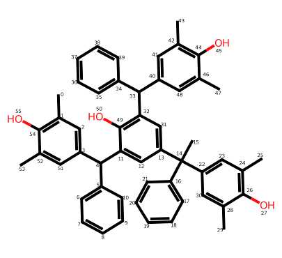 Cc1cc(C(c2ccccc2)c2cc(C(C)(c3ccccc3)c3cc(C)c(O)c(C)c3)cc(C(c3ccccc3)c3cc(C)c(O)c(C)c3)c2O)cc(C)c1O